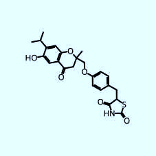 CC(C)c1cc2c(cc1O)C(=O)CC(C)(COc1ccc(CC3SC(=O)NC3=O)cc1)O2